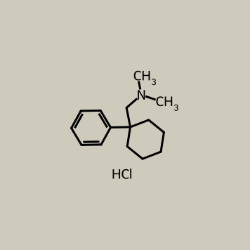 CN(C)CC1(c2ccccc2)CCCCC1.Cl